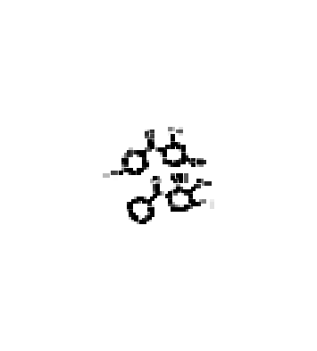 O=C(c1ccc(O)cc1)c1ccc(O)cc1O.O=C(c1ccccc1)c1ccc(O)c(O)c1O